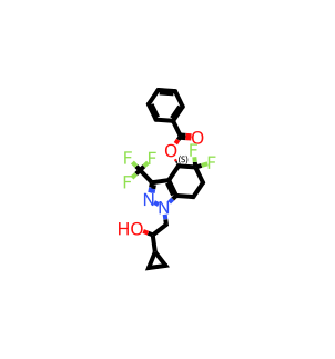 O=C(O[C@H]1c2c(C(F)(F)F)nn(CC(O)C3CC3)c2CCC1(F)F)c1ccccc1